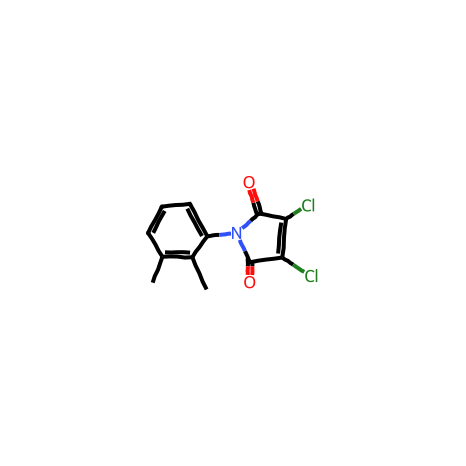 Cc1cccc(N2C(=O)C(Cl)=C(Cl)C2=O)c1C